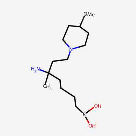 COC1CCN(CCC(C)(N)CCCCB(O)O)CC1